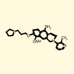 COc1c(OCCCN2CCCC2)ccc2c(N)c3c(cc12)CN(c1cccnc1C)C=C3